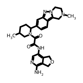 CC1CCC(c2ccc3c4n(nc3c2)CCN(C)C4)N(C(=O)C(=O)Nc2cnc(N)c3c2COC3)C1